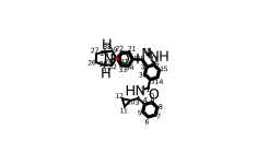 O=C(N[C@H](c1ccccc1)C1CC1)c1ccc2[nH]nc(-c3ccc(N4[C@@H]5CC[C@H]4C[C@@H](O)C5)cc3)c2c1